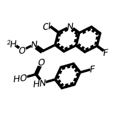 O=C(O)Nc1ccc(F)cc1.[2H]ON=Cc1cc2cc(F)ccc2nc1Cl